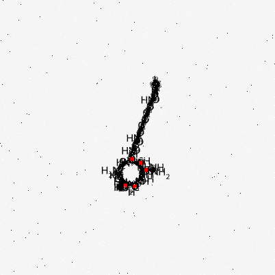 N=C(N)NCCC[C@@H]1NC(=O)[C@H](CS)NC(=O)[C@H](CCCCNC(=O)COCC(=O)NCCOCCOCCOCCOCCOCCNC(=O)CO/N=C/c2ccc(I)cc2)NC(=O)CSC[C@@H](C(N)=O)NC(=O)[C@H](Cc2ccccc2)NC(=O)[C@H](CS)NC(=O)[C@H](CC(=O)O)NC(=O)CNC1=O